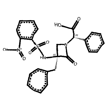 O=C(O)[C@H](c1ccccc1)N1C[C@](Cc2ccccc2)(NS(=O)(=O)c2ccccc2[N+](=O)[O-])C1=O